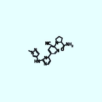 Cn1cc(Nc2nccc(-c3cnc(N4CCCC4C(N)=O)c(C#N)c3)n2)cn1